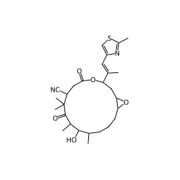 CC(=Cc1csc(C)n1)C1CC2OC2CCCC(C)C(O)C(C)C(=O)C(C)(C)C(C#N)CC(=O)O1